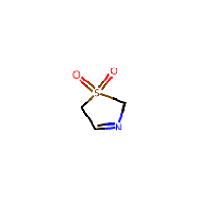 O=S1(=O)CC=NC1